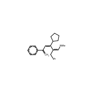 C=C(/C=C(\C(=C/NC)CC(C)C)C1CCCC1)c1ccccc1